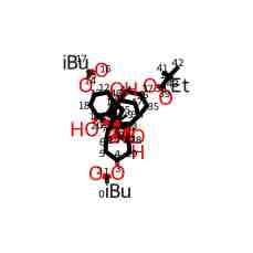 CCC(C)C(=O)OC1CC2C[C@](C)(C3C4CC(OC(=O)C(C)CC)CC3(O)CC(C)(O)C4)CC(O)(C1)C2C1(C)CC2CC(OC(=O)C(C)(C)CC)CC(O)(C2)C1